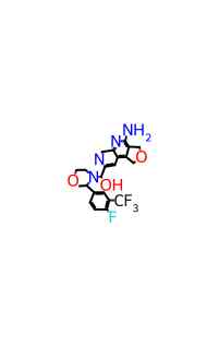 Nc1nc2cnc(C(O)N3CCOCC3c3ccc(F)c(C(F)(F)F)c3)cc2c2c1COC2